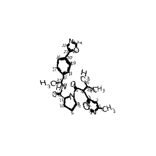 Cc1cc(C(C(=O)N2CCC[C@H]2C(=O)N[C@@H](C)c2ccc(-c3cnco3)cc2)C(C)C)on1